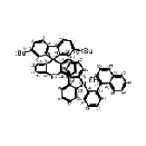 CC(C)(C)c1ccc2c(c1)C1(c3ccccc3Oc3c(-c4ccccc4[N@+](C)(c4ccccc4)c4ccccc4-c4cccc5ccccc45)cccc31)c1cc(C(C)(C)C)ccc1-2